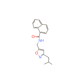 CC(C)Cc1cc(CNC(=O)c2cccc3ccccc23)on1